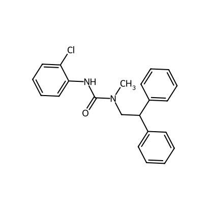 CN(CC(c1ccccc1)c1ccccc1)C(=O)Nc1ccccc1Cl